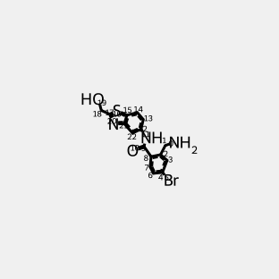 NCc1cc(Br)ccc1C(=O)Nc1ccc2sc(CO)nc2c1